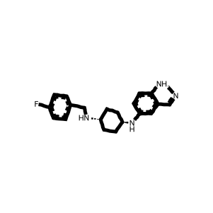 C/N=C\c1cc(N[C@H]2CC[C@@H](NCc3ccc(F)cc3)CC2)ccc1N